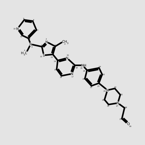 Cc1nc(N(C)c2cccnc2)sc1-c1ccnc(Nc2ccc(N3CCN(CC=O)CC3)cc2)n1